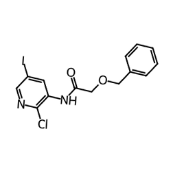 O=C(COCc1ccccc1)Nc1cc(I)cnc1Cl